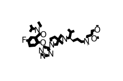 CCN(C(=O)c1cc(F)ccc1Oc1nncnc1N1CCC2(C1)CN([C@H](CCCN(C)CC(COC)OC)C(C)C)C2)C(C)C